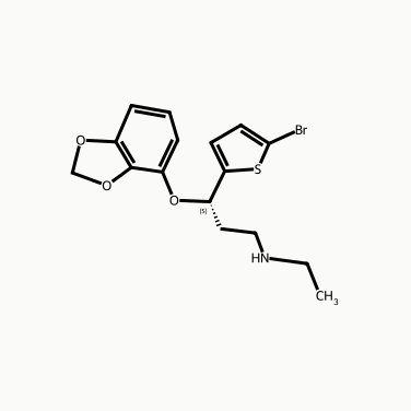 CCNCC[C@H](Oc1cccc2c1OCO2)c1ccc(Br)s1